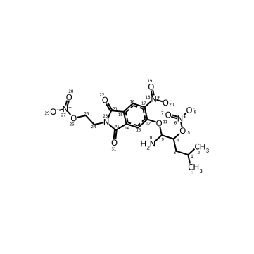 CC(C)CC(O[N+](=O)[O-])C(N)Oc1cc2c(cc1[N+](=O)[O-])C(=O)N(CCO[N+](=O)[O-])C2=O